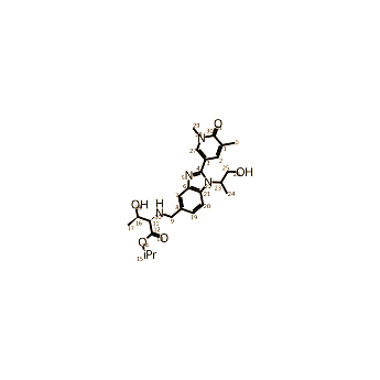 Cc1cc(-c2nc3cc(CN[C@H](C(=O)OC(C)C)[C@@H](C)O)ccc3n2C(C)CO)cn(C)c1=O